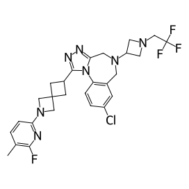 Cc1ccc(N2CC3(CC(c4nnc5n4-c4ccc(Cl)cc4CN(C4CN(CC(F)(F)F)C4)C5)C3)C2)nc1F